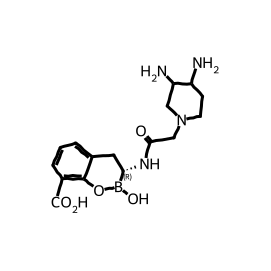 NC1CCN(CC(=O)N[C@H]2Cc3cccc(C(=O)O)c3OB2O)CC1N